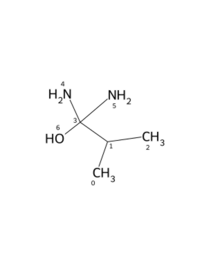 CC(C)C(N)(N)O